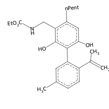 C=C(C)c1ccc(C)cc1-c1c(O)cc(CCCCC)c(CNC(=O)OCC)c1O